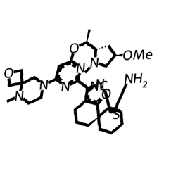 CO[C@@H]1C[C@@H]([C@H](C)Oc2cc(N3CCN(C)C4(COC4)C3)nc(-c3noc4c3CCC[C@@]43CCCc4sc(N)c(C#N)c43)n2)N(C)C1